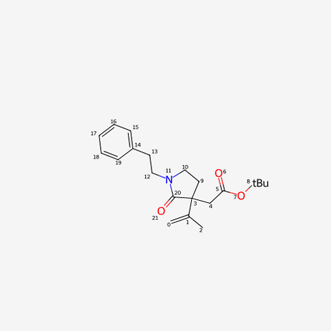 C=C(C)C1(CC(=O)OC(C)(C)C)CCN(CCc2ccccc2)C1=O